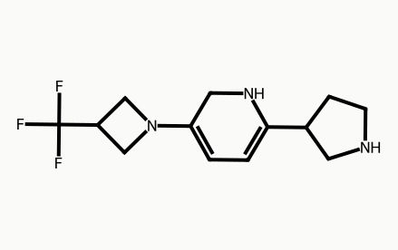 FC(F)(F)C1CN(C2=CC=C(C3CCNC3)NC2)C1